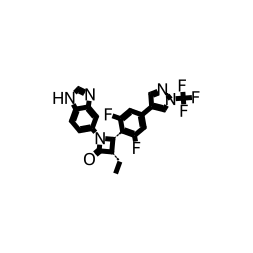 CC[C@@H]1C(=O)N(c2ccc3[nH]cnc3c2)[C@@H]1c1c(F)cc(-c2cnn(C(F)(F)F)c2)cc1F